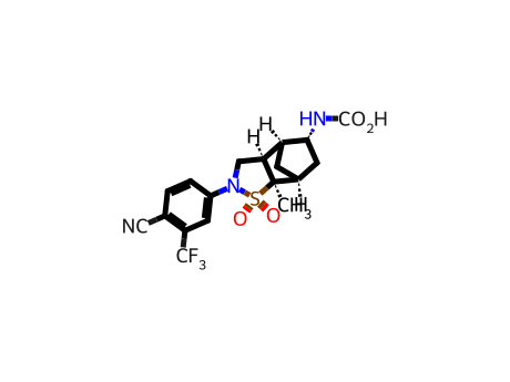 C[C@@]12[C@H]3C[C@H]([C@H](NC(=O)O)C3)[C@@H]1CN(c1ccc(C#N)c(C(F)(F)F)c1)S2(=O)=O